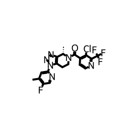 Cc1cc(-n2nnc3c2CCN(C(=O)c2ccnc(C(F)(F)F)c2Cl)[C@H]3C)ncc1F